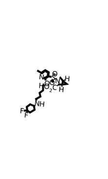 Cc1ccc(S(=O)(=O)N2C[C@@H]3C[C@@H]3[C@H]2C(=O)O)c(OCCCCCNC2CCC(F)(F)CC2)n1